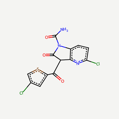 NC(=O)N1C(=O)C(C(=O)c2cc(Cl)cs2)c2nc(Cl)ccc21